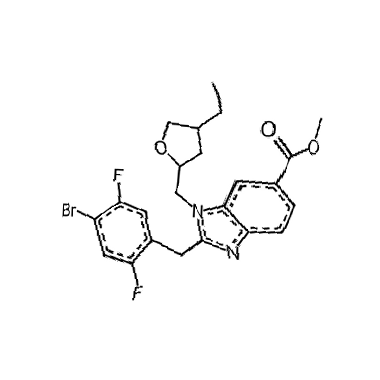 CCC1COC(Cn2c(Cc3cc(F)c(Br)cc3F)nc3ccc(C(=O)OC)cc32)C1